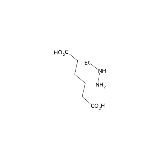 CCNN.O=C(O)CCCCC(=O)O